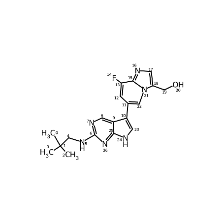 CC(C)(C)CNc1ncc2c(-c3cc(F)c4ncc(CO)n4c3)c[nH]c2n1